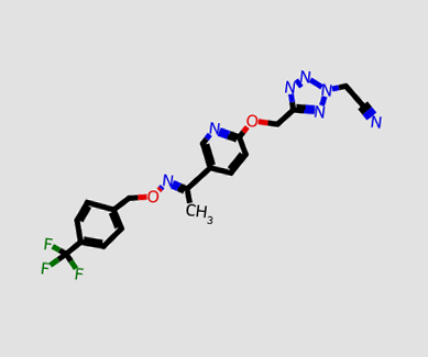 C/C(=N\OCc1ccc(C(F)(F)F)cc1)c1ccc(OCc2nnn(CC#N)n2)nc1